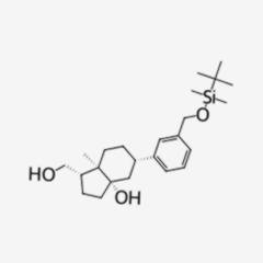 CC(C)(C)[Si](C)(C)OCc1cccc([C@H]2CC[C@]3(C)[C@@H](CO)CC[C@]3(O)C2)c1